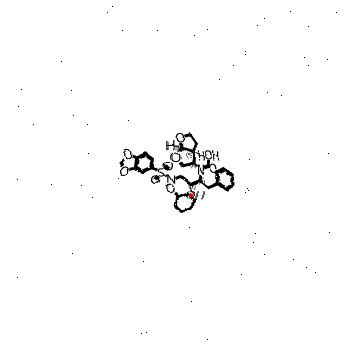 O=C(O)N([C@H]1CO[C@H]2OCC[C@H]21)[C@@H](Cc1ccccc1)[C@H](O)CN(OC1CCCCC1)S(=O)(=O)c1ccc2c(c1)OCO2